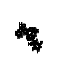 CN(C(=O)c1cc2c(F)cc(F)c(F)c2[nH]1)C(CC(C)(C)F)C(=O)N1C[C@]2(C[C@H]1C#N)C(=O)Nc1ncccc12